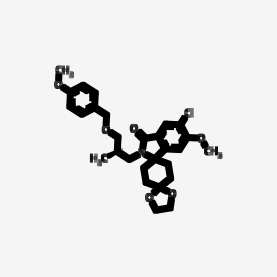 COc1ccc(COC[C@H](C)CN2C(=O)c3cc(Cl)c(OC)cc3C23CCC2(CC3)OCCO2)cc1